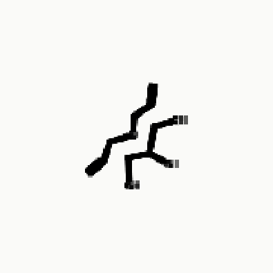 C=CCOCC=C.OCC(O)CO